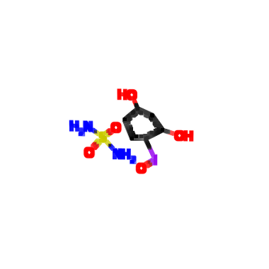 NS(N)(=O)=O.O=Ic1ccc(O)cc1O